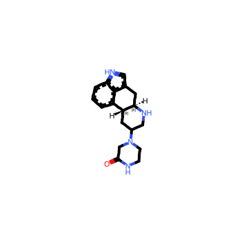 O=C1CN(C2CN[C@@H]3Cc4c[nH]c5cccc(c45)[C@H]3C2)CCN1